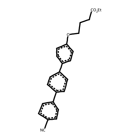 CCOC(=O)CCCOc1ccc(-c2ccc(-c3ccc(C#N)cc3)cc2)cc1